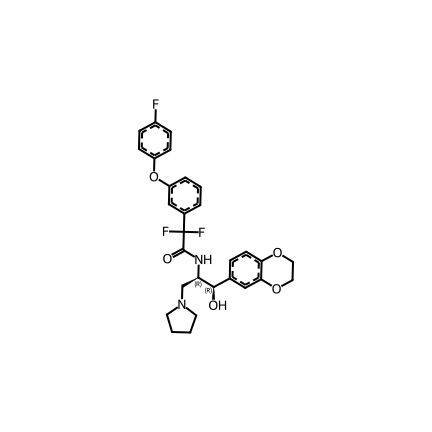 O=C(N[C@H](CN1CCCC1)[C@H](O)c1ccc2c(c1)OCCO2)C(F)(F)c1cccc(Oc2ccc(F)cc2)c1